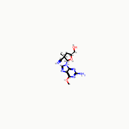 COc1nc(N)nc2c1ncn2[C@@H]1O[C@H](CO)C[C@@]1(C)C#N